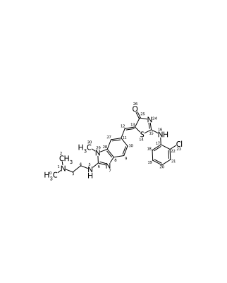 CN(C)CCNc1nc2ccc(/C=C3\SC(Nc4ccccc4Cl)=NC3=O)cc2n1C